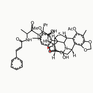 COc1c(C)cc2c(c1O)[C@@H]1C3[C@@H]4SC[C@H](NC(=O)C(NC(=O)C(C)NC(=O)/C=C/c5ccccc5)C(C)C)C(=O)OC[C@@H](c5c6c(c(C)c(OC(C)=O)c54)OCO6)N3[C@@H](O)[C@H](C2)N1C